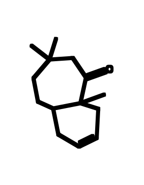 CC1(C)CCC2CC=CCC2(C)C(=O)C1